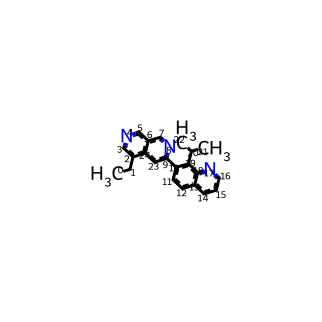 CCc1cncc2cnc(-c3ccc4cccnc4c3C(C)C)cc12